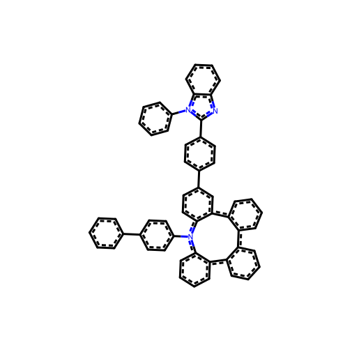 c1ccc(-c2ccc(-n3c4ccccc4c4ccccc4c4ccccc4c4cc(-c5ccc(-c6nc7ccccc7n6-c6ccccc6)cc5)ccc43)cc2)cc1